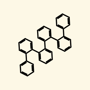 c1ccc(-c2ccccc2-c2ccccc2-c2ccccc2-c2ccccc2-c2ccccc2)cc1